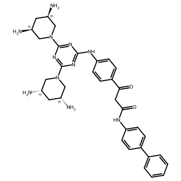 N[C@@H]1C[C@H](N)CN(c2nc(Nc3ccc(C(=O)CC(=O)Nc4ccc(-c5ccccc5)cc4)cc3)nc(N3C[C@H](N)C[C@H](N)C3)n2)C1